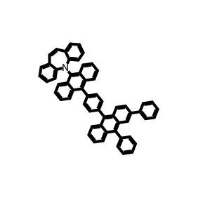 C1=Cc2ccccc2N(c2c3ccccc3c(-c3ccc(-c4c5ccccc5c(-c5ccccc5)c5cc(-c6ccccc6)ccc45)cc3)c3ccccc23)c2ccccc21